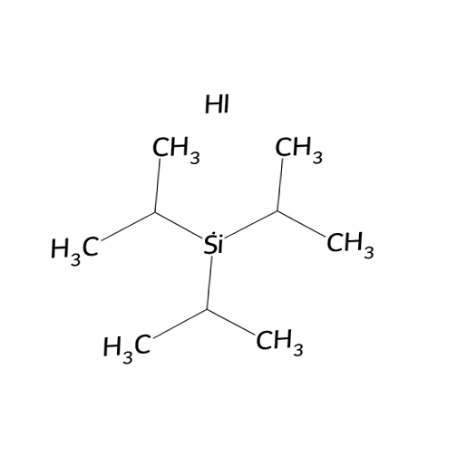 CC(C)[Si](C(C)C)C(C)C.I